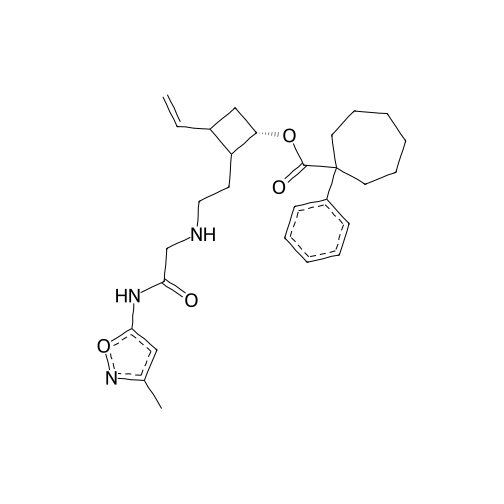 C=CC1C[C@H](OC(=O)C2(c3ccccc3)CCCCCC2)C1CCNCC(=O)Nc1cc(C)no1